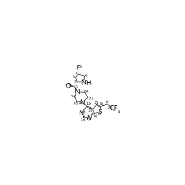 O=C([C@@H]1C[C@H](F)CN1)N1CCN(c2ncnc3sc(CC(F)(F)F)cc23)CC1